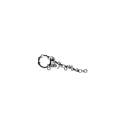 O=[C]COCCOCCNC(=O)COCCOCCNC(=O)C1C[C@@H](C(=O)O)NC(=O)CCCCCCCCCCCCCCC1=O